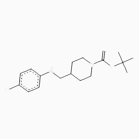 CC(C)(C)OC(=O)N1CCC(CNc2ccc(Cl)cc2)CC1